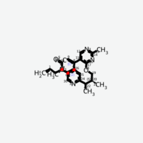 C=CCN(C=O)/C=C\C(=C/C)c1cnc(C)nc1OC[C@@H](C)C(C)c1ccc(OC)cn1